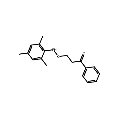 Cc1cc(C)c(POCCC(=O)c2ccccc2)c(C)c1